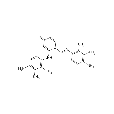 Cc1c(N)ccc(N=CC2C=CC(=O)C=C2Nc2ccc(N)c(C)c2C)c1C